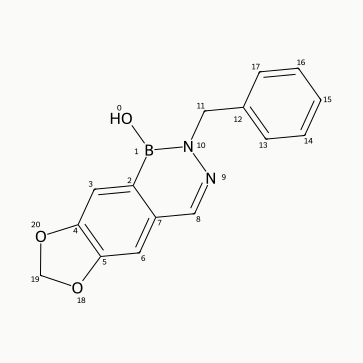 OB1c2cc3c(cc2C=NN1Cc1ccccc1)OCO3